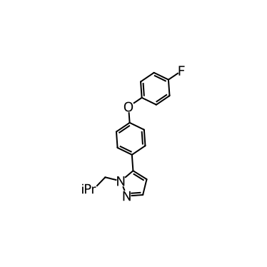 CC(C)Cn1nccc1-c1ccc(Oc2ccc(F)cc2)cc1